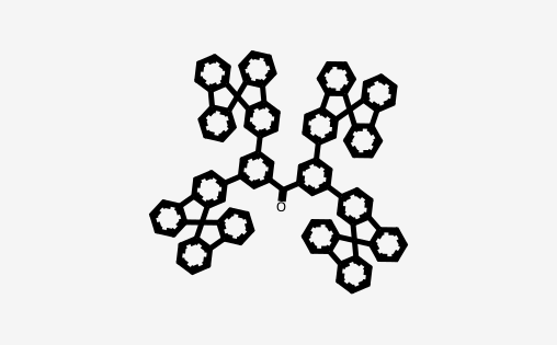 O=C(c1cc(-c2ccc3c(c2)C2(c4ccccc4-c4ccccc42)c2ccccc2-3)cc(-c2ccc3c(c2)C2(c4ccccc4-c4ccccc42)c2ccccc2-3)c1)c1cc(-c2ccc3c(c2)C2(c4ccccc4-c4ccccc42)c2ccccc2-3)cc(-c2ccc3c(c2)C2(c4ccccc4-c4ccccc42)c2ccccc2-3)c1